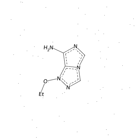 CCOn1ncn2cnc(N)c12